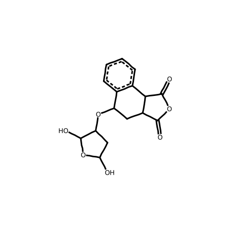 O=C1OC(=O)C2c3ccccc3C(OC3CC(O)OC3O)CC12